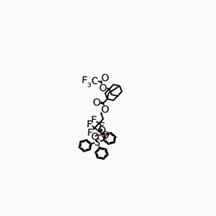 O=C(OC12CC3CC(C1)CC(C(=O)OCCC(F)(F)C(F)(F)S(=O)(=O)OS(c1ccccc1)(c1ccccc1)c1ccccc1)(C3)C2)C(F)(F)F